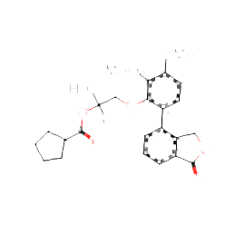 COc1ccc(-c2cccc3c2COC3=O)c(OCC(C)(C)OC(=O)C2CCCC2)c1OC